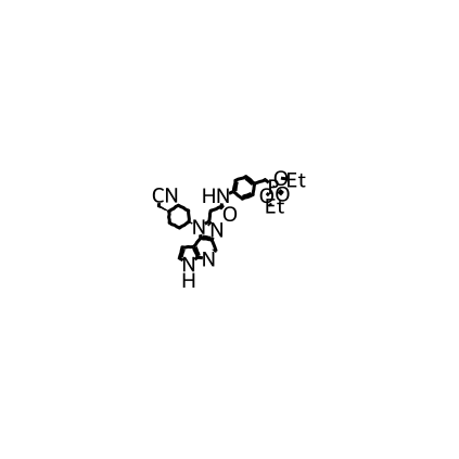 CCOP(=O)(Cc1ccc(NC(=O)Cc2nc3cnc4[nH]ccc4c3n2[C@H]2CC[C@H](CC#N)CC2)cc1)OCC